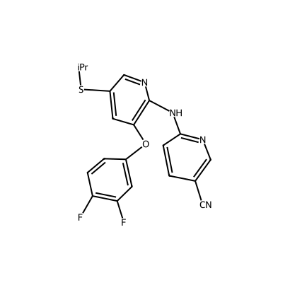 CC(C)Sc1cnc(Nc2ccc(C#N)cn2)c(Oc2ccc(F)c(F)c2)c1